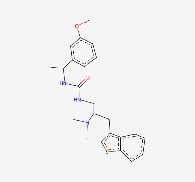 COc1cccc(C(C)NC(=O)NCC(Cc2csc3ccccc23)N(C)C)c1